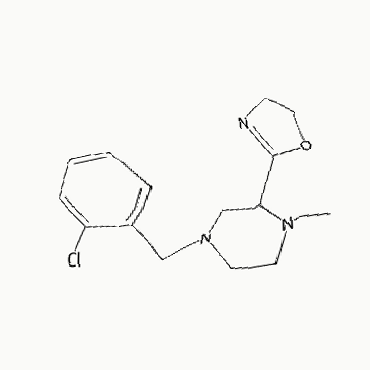 CN1CCN(Cc2ccccc2Cl)CC1C1=NCCO1